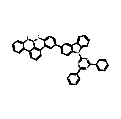 c1ccc(-c2nc(-c3ccccc3)nc(-n3c4ccccc4c4cc(-c5ccc6c(c5)-c5cccc7c5B(Nc5ccccc5-7)N6)ccc43)n2)cc1